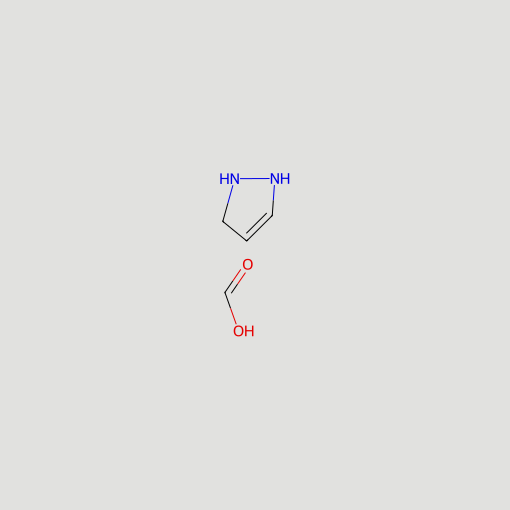 C1=CNNC1.O=CO